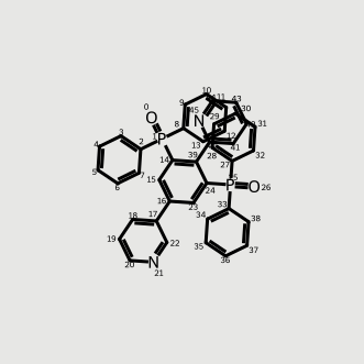 O=P(c1ccccc1)(c1ccccc1)c1cc(-c2cccnc2)cc(P(=O)(c2ccccc2)c2ccccc2)c1-c1ccccn1